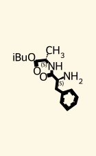 CC(C)COC(=O)[C@H](C)NC(=O)[C@@H](N)Cc1ccccc1